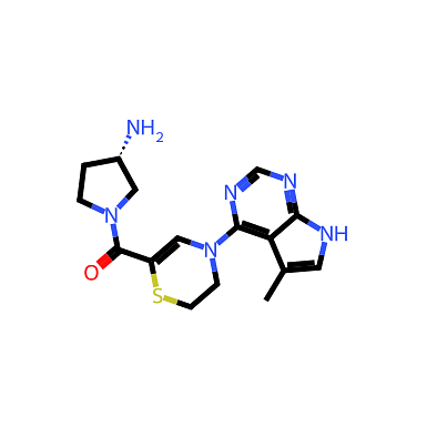 Cc1c[nH]c2ncnc(N3C=C(C(=O)N4CC[C@H](N)C4)SCC3)c12